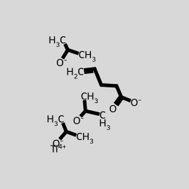 C=CCCC(=O)[O-].CC(C)[O-].CC(C)[O-].CC(C)[O-].[Ti+4]